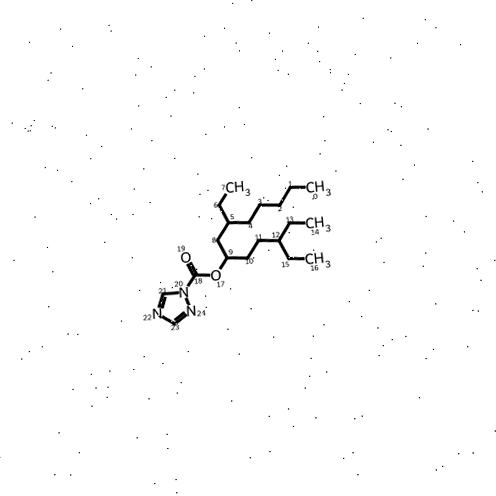 CCCCCC(CC)CC(CCC(CC)CC)OC(=O)n1cncn1